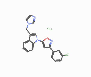 Cl.Clc1cccc(-c2cc(-n3cc(Cn4ccnc4)c4ccccc43)on2)c1